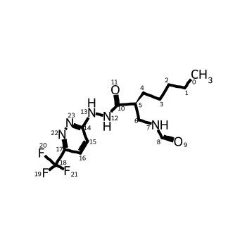 CCCCC[C@@H](CNC=O)C(=O)NNc1ccc(C(F)(F)F)nn1